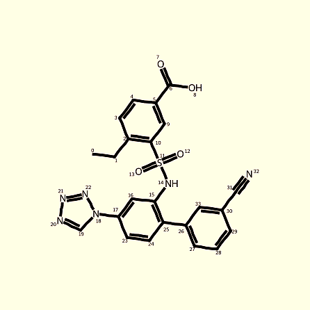 CCc1ccc(C(=O)O)cc1S(=O)(=O)Nc1cc(-n2cnnn2)ccc1-c1cccc(C#N)c1